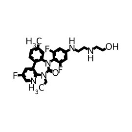 CCN1C(=O)N(c2c(F)cc(NCCNCCO)cc2F)c2cc(C)ccc2-c2cc(F)cnc21